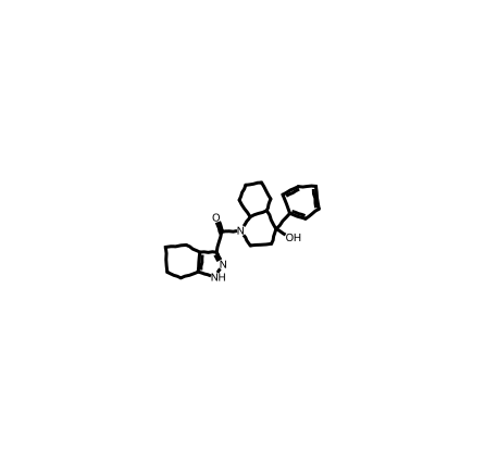 O=C(c1n[nH]c2c1CCCC2)N1CCC(O)(c2ccccc2)C2CCCCC21